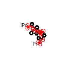 CC(C)OC(=O)Oc1ccccc1C(=O)c1cccc(C(=O)OOC(=O)c2cccc(C(=O)c3ccccc3OC(=O)OC(C)C)c2OC(=O)C2CCCCC2)c1OC(=O)C1CCCCC1